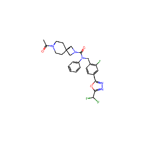 CC(=O)N1CCC2(CC1)CN(C(=O)N(Cc1ccc(-c3nnc(C(F)F)o3)cc1F)c1ccccc1)C2